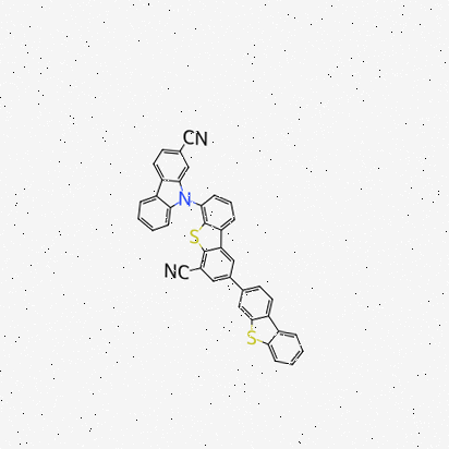 N#Cc1ccc2c3ccccc3n(-c3cccc4c3sc3c(C#N)cc(-c5ccc6c(c5)sc5ccccc56)cc34)c2c1